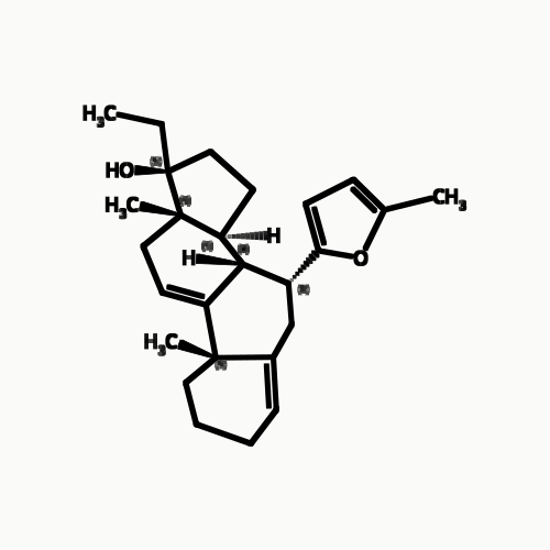 CC[C@]1(O)CC[C@H]2[C@H]3C(=CC[C@@]21C)[C@@]1(C)CCCC=C1C[C@H]3c1ccc(C)o1